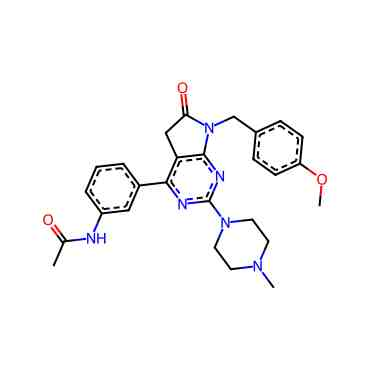 COc1ccc(CN2C(=O)Cc3c(-c4cccc(NC(C)=O)c4)nc(N4CCN(C)CC4)nc32)cc1